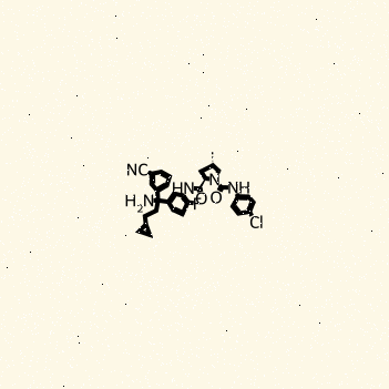 C[C@H]1C[C@H](C(=O)Nc2cc(C(N)(CCC3CC3)c3cccc(C#N)c3)ccc2F)N(C(=O)Nc2ccc(Cl)cc2)C1